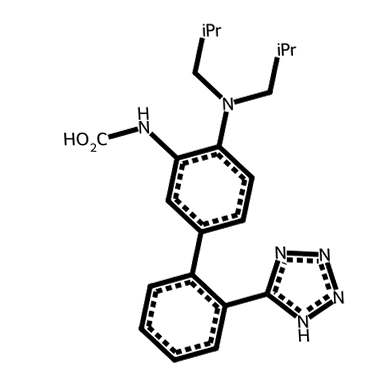 CC(C)CN(CC(C)C)c1ccc(-c2ccccc2-c2nnn[nH]2)cc1NC(=O)O